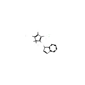 CC1=C(C)C(C)(C)[C]([Ti+2][CH]2C=Cc3ccccc32)=C1C.[Cl-].[Cl-]